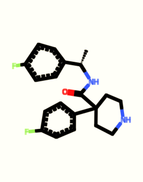 C[C@H](NC(=O)C1(c2ccc(F)cc2)CCNCC1)c1ccc(F)cc1